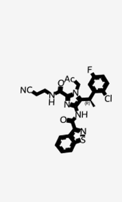 CC(=O)Cn1c(C(=O)NCCC#N)nc(NC(=O)c2nsc3ccccc23)c1[C@H](C)c1cc(F)ccc1Cl